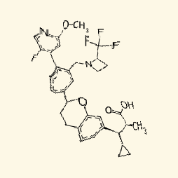 COc1cc(-c2ccc(C3CCc4ccc([C@H](C5CC5)[C@H](C)C(=O)O)cc4O3)cc2CN2CCC2C(F)(F)F)c(F)cn1